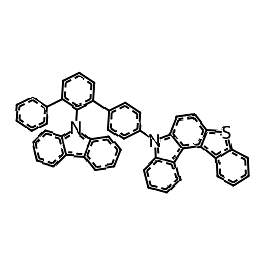 c1ccc(-c2cccc(-c3ccc(-n4c5ccccc5c5c6c(ccc54)sc4ccccc46)cc3)c2-n2c3ccccc3c3ccccc32)cc1